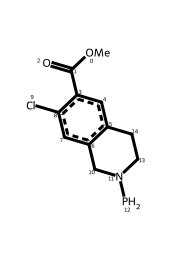 COC(=O)c1cc2c(cc1Cl)CN(P)CC2